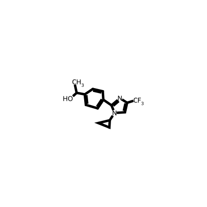 CC(O)c1ccc(-c2nc(C(F)(F)F)cn2C2CC2)cc1